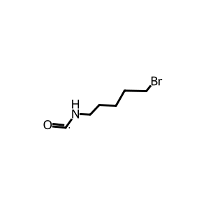 O=[C]NCCCCCBr